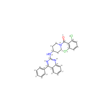 O=C(c1c(Cl)cccc1Cl)N1CCC(Nc2nc(-c3ccccc3)c3ccccc3n2)CC1